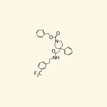 O=C(CC1(c2ccccc2)CCN(C(=O)OCc2ccccc2)CC1)NCCc1cccc(C(F)(F)F)c1